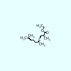 CCOC(=O)C(C)C=C=C(C)CCC=C(C)C